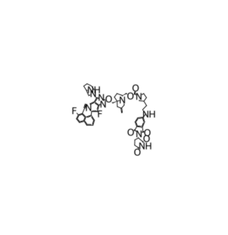 C#Cc1c(F)ccc2cccc(-c3ncc4c(N5CC6CCC(C5)N6)nc(OC[C@@]56CC[C@@H](COC(=O)N7CCC(CCNc8ccc9c(c8)C(=O)N(C8CCC(=O)NC8=O)C9=O)C7)N5CC(=C)C6)nc4c3F)c12